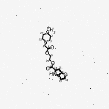 CN1CCN(CC(=O)OCCOC(=O)c2cc3occc3[nH]2)CC1